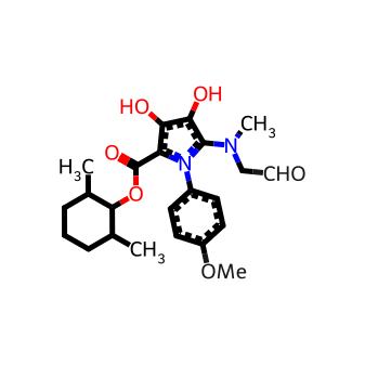 COc1ccc(-n2c(C(=O)OC3C(C)CCCC3C)c(O)c(O)c2N(C)CC=O)cc1